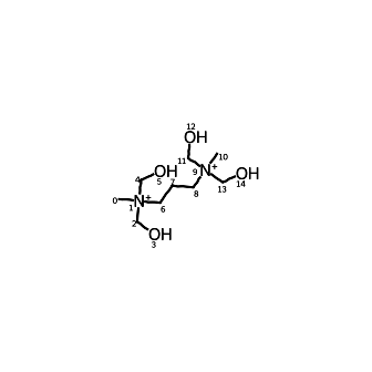 C[N+](CO)(CO)CCC[N+](C)(CO)CO